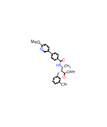 COC(=O)[C@H](Cc1cccc(C#N)c1)[C@@H](C)NC(=O)c1ccc(-c2ccc(OC)nc2)cc1